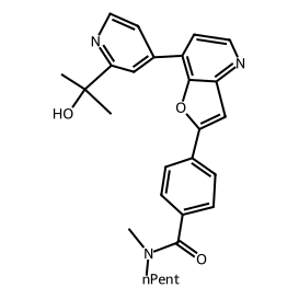 CCCCCN(C)C(=O)c1ccc(-c2cc3nccc(-c4ccnc(C(C)(C)O)c4)c3o2)cc1